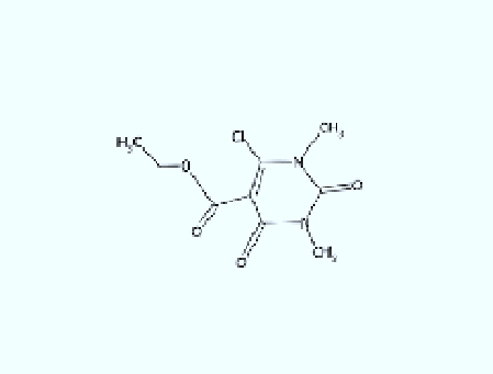 CCOC(=O)c1c(Cl)n(C)c(=O)n(C)c1=O